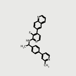 Cc1cc(-c2ccc(C(C)Nc3nccc(-c4ccc5ncccc5c4)c3F)cc2)ccn1